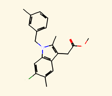 COC(=O)Cc1c(C)n(Cc2cccc(C)c2)c2cc(Cl)c(C)cc12